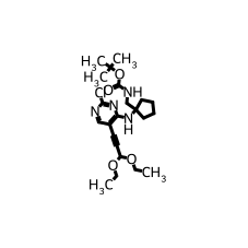 CCOC(C#Cc1cnc(Cl)nc1NC1(CNC(=O)OC(C)(C)C)CCCC1)OCC